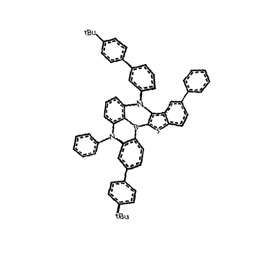 CC(C)(C)c1ccc(-c2cccc(N3c4cccc5c4B(c4ccc(-c6ccc(C(C)(C)C)cc6)cc4N5c4ccccc4)c4sc5ccc(-c6ccccc6)cc5c43)c2)cc1